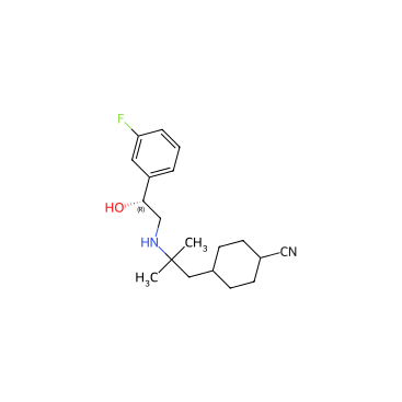 CC(C)(CC1CCC(C#N)CC1)NC[C@H](O)c1cccc(F)c1